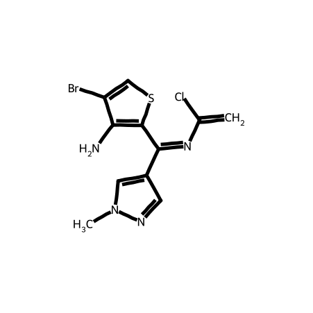 C=C(Cl)/N=C(/c1cnn(C)c1)c1scc(Br)c1N